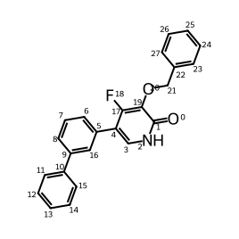 O=c1[nH]cc(-c2cccc(-c3ccccc3)c2)c(F)c1OCc1ccccc1